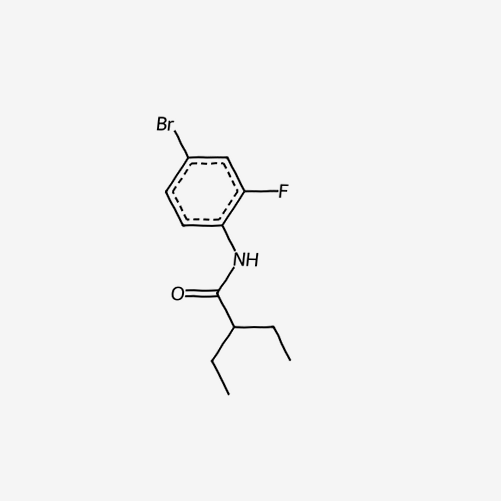 CCC(CC)C(=O)Nc1ccc(Br)cc1F